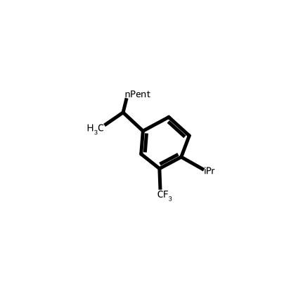 CCCCCC(C)c1ccc(C(C)C)c(C(F)(F)F)c1